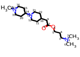 CN(C)CCCOC(=O)CC1CCN(C2CCN(C)CC2)CC1